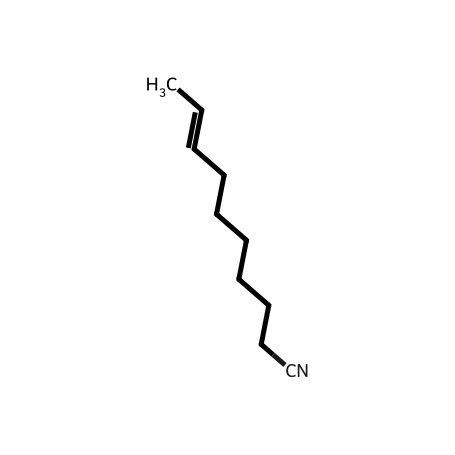 C/C=C/CCCCCCC#N